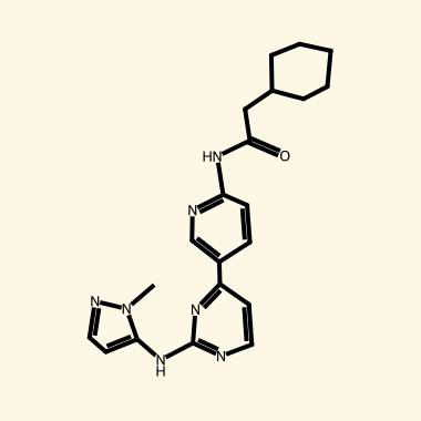 Cn1nccc1Nc1nccc(-c2ccc(NC(=O)CC3CCCCC3)nc2)n1